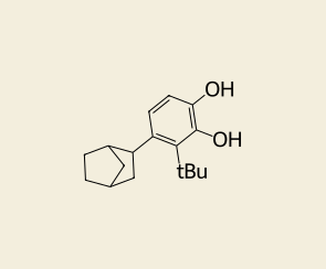 CC(C)(C)c1c(C2CC3CCC2C3)ccc(O)c1O